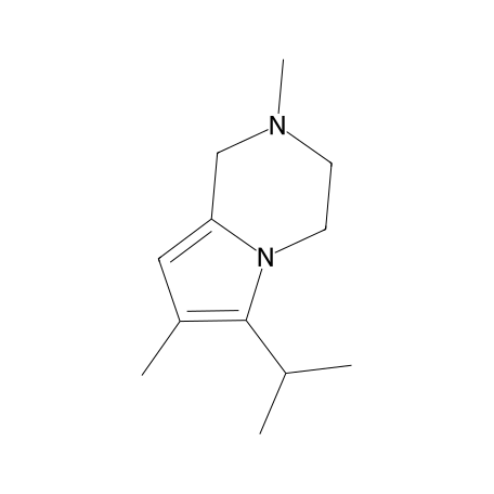 Cc1cc2n(c1C(C)C)CCN(C)C2